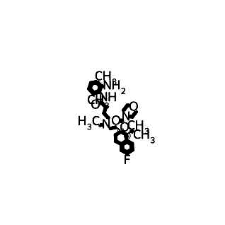 CCN(CCCC(=O)Nc1c(C)ccc(C)c1N)CC[C@@]1(OC(=O)N2CCOCC2)CCc2cc(F)ccc2[C@@H]1C(C)C